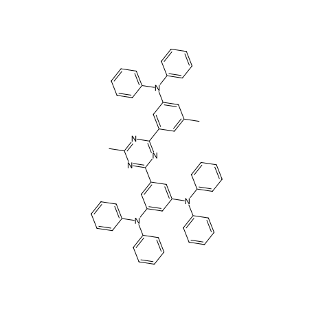 Cc1cc(-c2nc(C)nc(-c3cc(N(c4ccccc4)c4ccccc4)cc(N(c4ccccc4)c4ccccc4)c3)n2)cc(N(c2ccccc2)c2ccccc2)c1